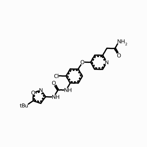 CC(C)(C)c1cc(NC(=O)Nc2ccc(Oc3ccnc(CC(N)=O)c3)cc2Cl)no1